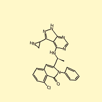 C[C@H](Nc1ncnc2[nH]nc(C3CN3)c12)c1cc2cccc(Cl)c2c(=O)n1-c1ccccc1